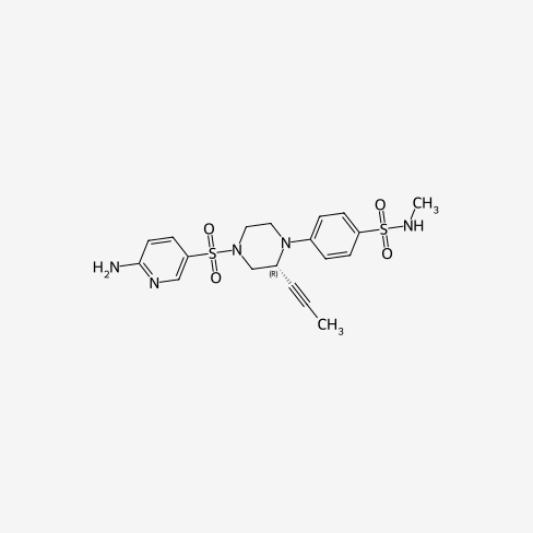 CC#C[C@@H]1CN(S(=O)(=O)c2ccc(N)nc2)CCN1c1ccc(S(=O)(=O)NC)cc1